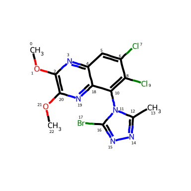 COc1nc2cc(Cl)c(Cl)c(-n3c(C)nnc3Br)c2nc1OC